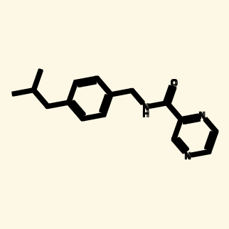 CC(C)Cc1ccc(CNC(=O)c2cnccn2)cc1